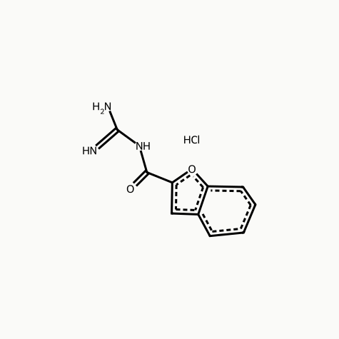 Cl.N=C(N)NC(=O)c1cc2ccccc2o1